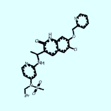 CC(C)CN(c1ccnc(NC(C)c2cc3cc(Cl)c(OCc4ccccn4)cc3[nH]c2=O)c1)S(C)(=O)=O